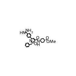 COC(=O)[C@H]1CC[C@H](NC(=O)c2cc(-c3ccc(C(=N)N)cc3)nn(Cc3ccccc3)c2=O)CC1